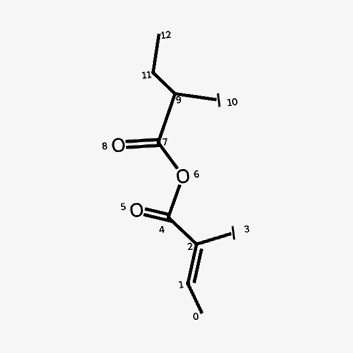 C/C=C(\I)C(=O)OC(=O)C(I)CC